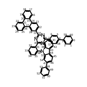 c1ccc(-c2ccc(-c3nc(-c4ccc5c6ccccc6c6ccccc6c5c4)nc(-c4ccccc4-n4c5ccccc5c5ccc(-c6ccccc6)cc54)n3)cc2)cc1